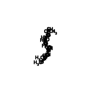 COCCN(Cc1ccc(-c2cc3nccc(Oc4ccc(NC(=O)Nc5cccc(C(=O)N(C)C)c5)cc4F)c3s2)nc1)C(C)=O